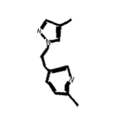 Cc1cnn(Cc2ccc(C)nc2)c1